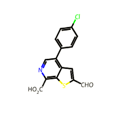 O=Cc1cc2c(-c3ccc(Cl)cc3)cnc(C(=O)O)c2s1